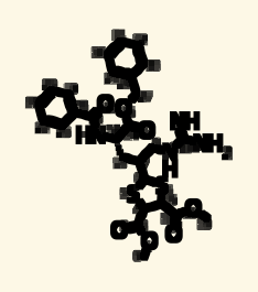 COC(=O)C1SC(C(CNC(=N)N)C[C@H](NC(=O)c2ccccc2)C(=O)OCc2ccccc2)SC1C(=O)OC